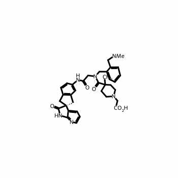 CNCc1ccccc1CN(CC(=O)Nc1ccc2c(c1)C[C@@]1(C2)C(=O)Nc2ncccc21)C(=O)C1(C)CCN(CC(=O)O)CC1